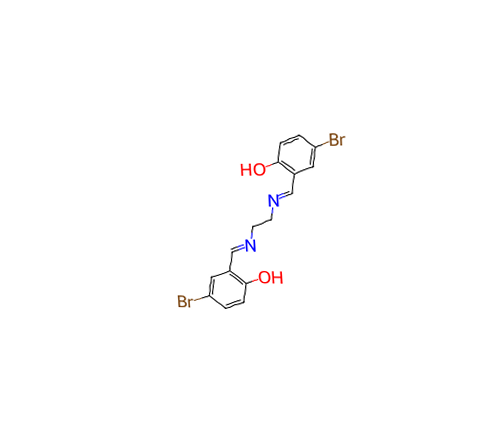 Oc1ccc(Br)cc1/C=N/CC/N=C/c1cc(Br)ccc1O